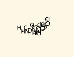 C[C@@H]1C[C@H](N2C(=N)N[C@](C)(c3cccc(-c4cccc(Cl)c4)c3Cl)CC2=O)CCN1.Cl